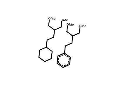 COCC(CCC1CCCCC1)COC.COCC(CCc1ccccc1)COC